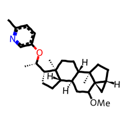 COC1C[C@H]2[C@@H]3CC[C@H]([C@H](C)Oc4ccc(C)nc4)[C@@]3(C)CC[C@@H]2[C@@]2(C)CC[C@@H]3C[C@]132